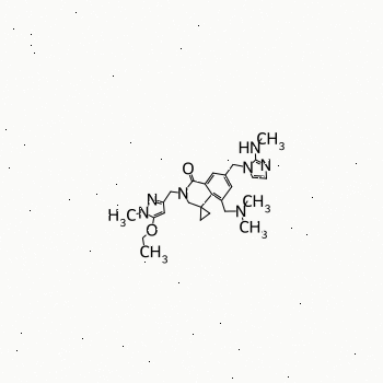 CCOc1cc(CN2CC3(CC3)c3c(CN(C)C)cc(Cn4ccnc4NC)cc3C2=O)nn1C